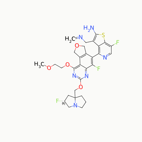 C=NCc1c(N)sc2c(F)cnc(-c3c4c(c5c(OCCOC)nc(OCC67CCCN6C[C@H](F)C7)nc5c3F)COC4)c12